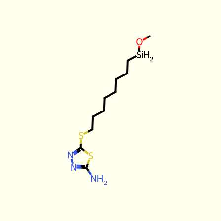 CO[SiH2]CCCCCCCCSc1nnc(N)s1